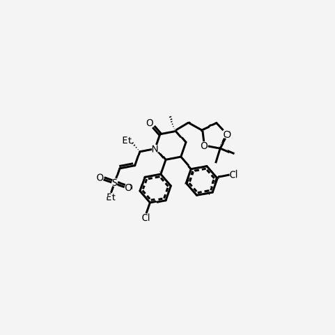 CC[C@@H](/C=C/S(=O)(=O)CC)N1C(=O)[C@@](C)(CC2COC(C)(C)O2)CC(c2cccc(Cl)c2)C1c1ccc(Cl)cc1